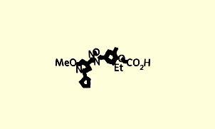 CCc1cc(-c2nc(-c3cc(OC)nc(C4CCCC4)c3)no2)cc(C)c1OCC(=O)O